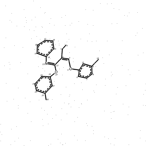 CCC(=COc1cccc(C)c1)/C(=N\c1ccccc1)Oc1cccc(C)c1